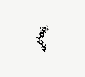 Cc1cnc(N2CCN(C(=O)c3ccc(C4(C)NC(=O)NC4=O)cc3)C(C)C2)c(C)c1